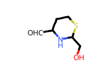 O=CC1CCSC(CO)N1